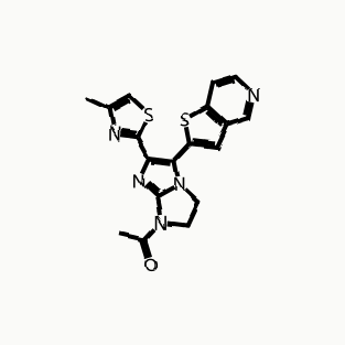 CC(=O)N1CCn2c1nc(-c1nc(C)cs1)c2-c1cc2cnccc2s1